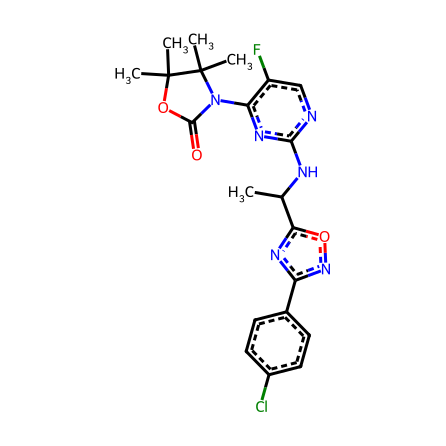 CC(Nc1ncc(F)c(N2C(=O)OC(C)(C)C2(C)C)n1)c1nc(-c2ccc(Cl)cc2)no1